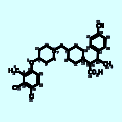 Cc1c(OC2CCN(CC3CCN([C@H](C(=O)O)C(C)c4ccc(C#N)cc4)CC3)CC2)ccc(Cl)c1Cl